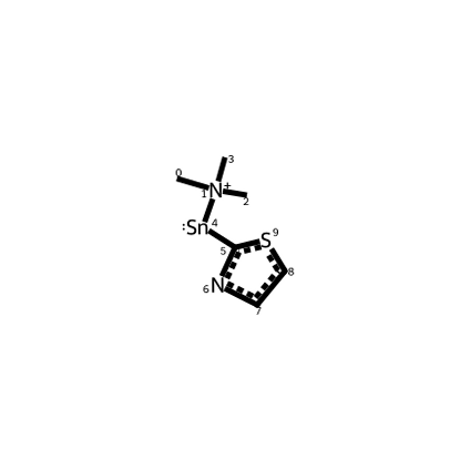 C[N+](C)(C)[Sn][c]1nccs1